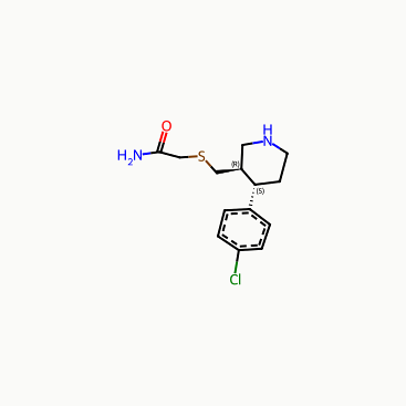 NC(=O)CSC[C@H]1CNCC[C@@H]1c1ccc(Cl)cc1